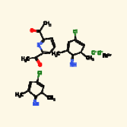 CC(=O)c1cccc(C(C)=O)n1.CC1=CC(Cl)=CC(C)C1=N.CC1=CC(Cl)=CC(C)C1=N.[Cl-].[Cl-].[Fe+2]